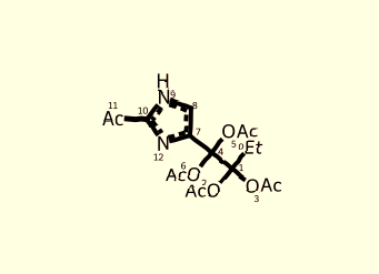 CCC(OC(C)=O)(OC(C)=O)C(OC(C)=O)(OC(C)=O)c1c[nH]c(C(C)=O)n1